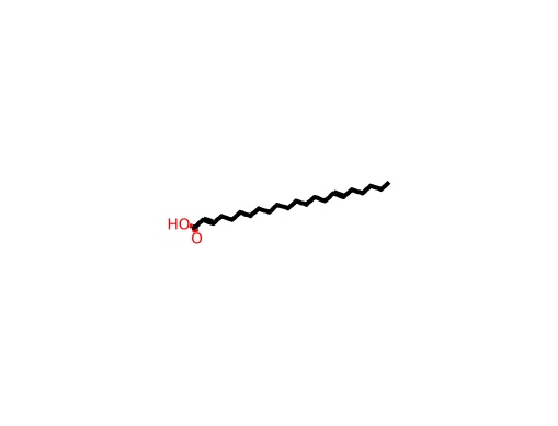 CCCCCC=CCCCCCCCCCCCCC=CC(=O)O